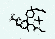 C=CC=CC1(C)CCN(c2c([C@H](OC(C)(C)C)C(=O)OCC)c(C)nc3cc(C(=O)O)nn23)CC1